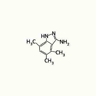 Cc1cc(C)c2[nH]nc(N)c2c1C